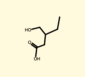 CCC(CO)CC(=O)O